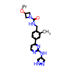 Cc1cc(-c2ccnc(Nc3cn[nH]c3)n2)ccc1CNC(=O)N1CC(OC(C)C)C1